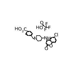 O=C(O)C(F)(F)F.O=C(O)c1ccc(CN2CCC(Nc3cc(=O)oc4ccc(Cl)cc34)CC2)cc1